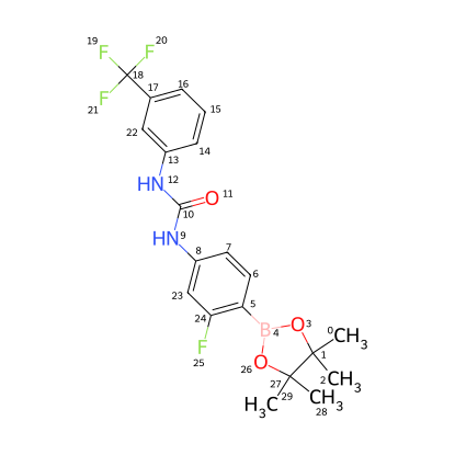 CC1(C)OB(c2ccc(NC(=O)Nc3cccc(C(F)(F)F)c3)cc2F)OC1(C)C